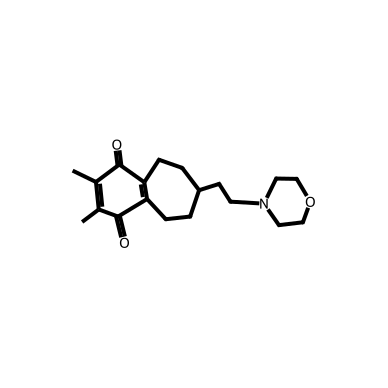 CC1=C(C)C(=O)C2=C(CCC(CCN3CCOCC3)CC2)C1=O